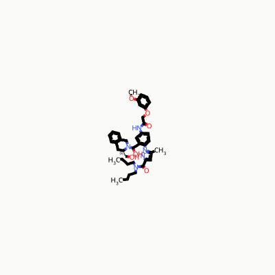 CCCCN(CCCC)C(=O)c1cc(C)n(-c2ccc(NC(=O)COc3cccc(OC)c3)cc2C(O)N2Cc3ccccc3C[C@H]2CO)n1